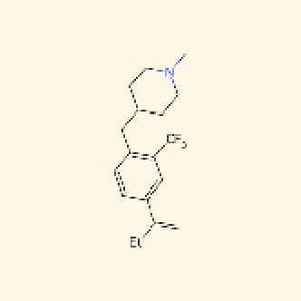 C=C(CC)c1ccc(CC2CCN(C)CC2)c(C(F)(F)F)c1